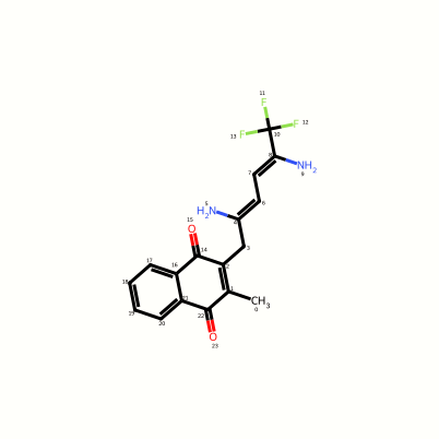 CC1=C(C/C(N)=C/C=C(\N)C(F)(F)F)C(=O)c2ccccc2C1=O